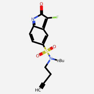 C#CCCN(CCCC)S(=O)(=O)c1ccc2c(c1)=C(F)C(=O)N=2